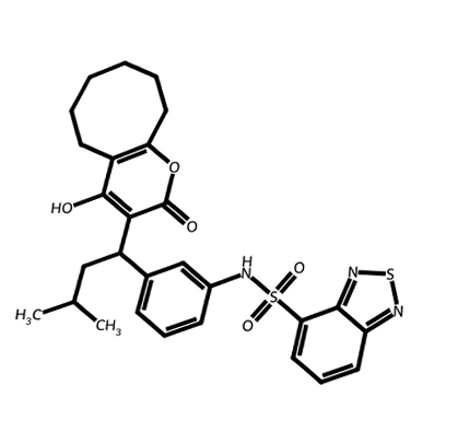 CC(C)CC(c1cccc(NS(=O)(=O)c2cccc3nsnc23)c1)c1c(O)c2c(oc1=O)CCCCCC2